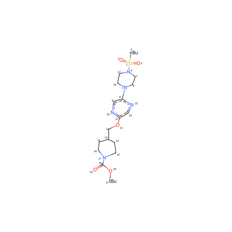 CCCCS(=O)(=O)N1CCN(c2cnc(OCC3CCN(C(=O)OC(C)(C)C)CC3)cn2)CC1